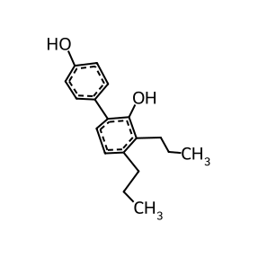 CCCc1ccc(-c2ccc(O)cc2)c(O)c1CCC